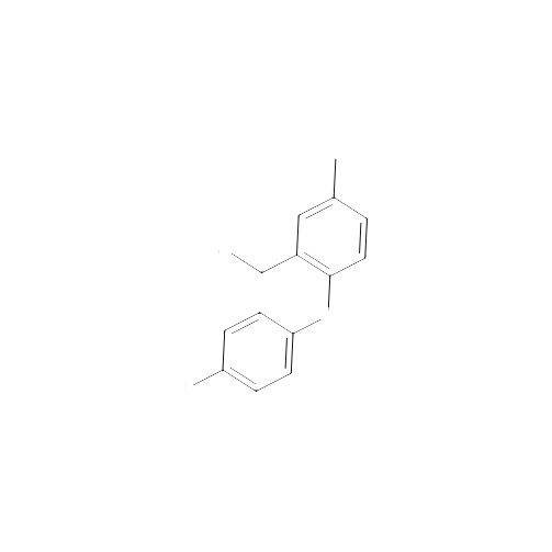 Cc1ccc(Oc2ccc(F)cc2)c(CCl)c1